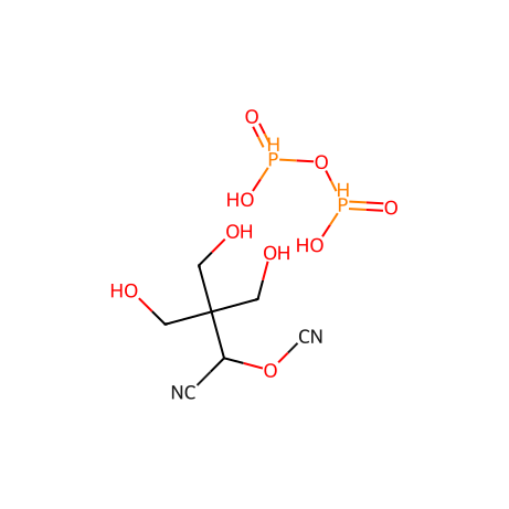 N#COC(C#N)C(CO)(CO)CO.O=[PH](O)O[PH](=O)O